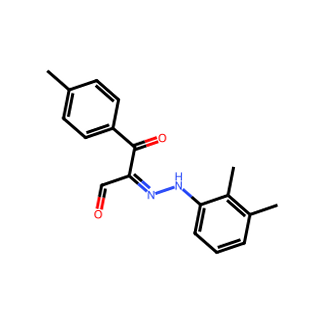 Cc1ccc(C(=O)/C(C=O)=N\Nc2cccc(C)c2C)cc1